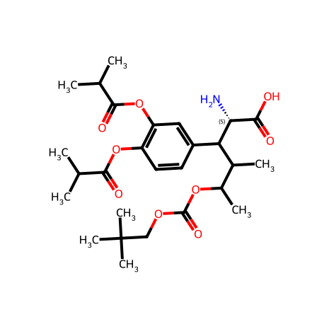 CC(C)C(=O)Oc1ccc(C(C(C)C(C)OC(=O)OCC(C)(C)C)[C@H](N)C(=O)O)cc1OC(=O)C(C)C